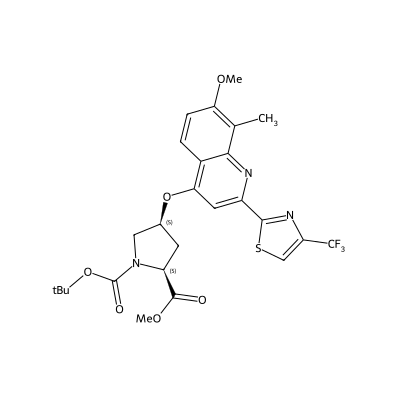 COC(=O)[C@@H]1C[C@H](Oc2cc(-c3nc(C(F)(F)F)cs3)nc3c(C)c(OC)ccc23)CN1C(=O)OC(C)(C)C